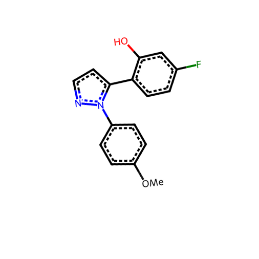 COc1ccc(-n2nccc2-c2ccc(F)cc2O)cc1